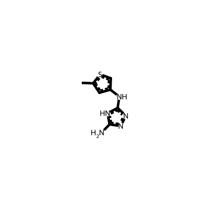 Cc1cc(Nc2nnc(N)[nH]2)cs1